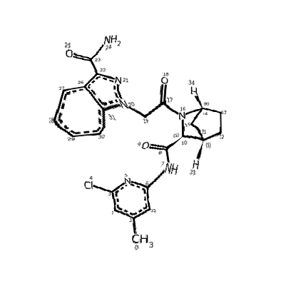 Cc1cc(Cl)nc(NC(=O)[C@@H]2[C@H]3CC[C@H](C3)N2C(=O)Cn2nc(C(N)=O)c3ccccc32)c1